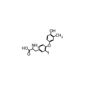 Cc1cc(Oc2ccc(CC(N)C(=O)O)cc2I)ccc1O